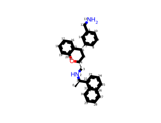 C[C@@H](NC[C@H]1C[C@@H](c2cccc(CN)c2)c2ccccc2O1)c1cccc2ccccc12